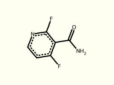 NC(=O)c1c(F)ccnc1F